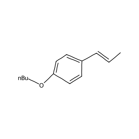 C/C=C/c1ccc(OCCCC)cc1